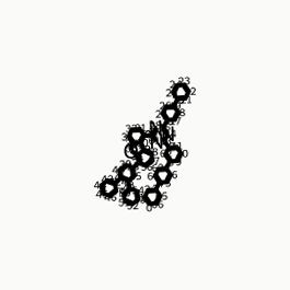 c1ccc(-c2ccc(-c3cccc(-c4nc(-c5ccc(-c6ccccc6)cc5)nc(-c5cccc6oc7c(-c8ccc(-c9ccccc9)c(-c9ccccc9)c8)cccc7c56)n4)c3)cc2)cc1